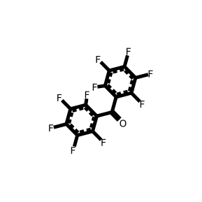 O=C(c1c(F)c(F)c(F)c(F)c1F)c1c(F)c(F)c(F)c(F)c1F